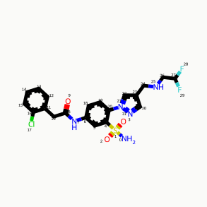 NS(=O)(=O)c1cc(NC(=O)Cc2ccccc2Cl)ccc1-n1cc(CNCC(F)F)cn1